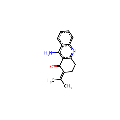 CC(C)=C1CCc2nc3ccccc3c(N)c2C1=O